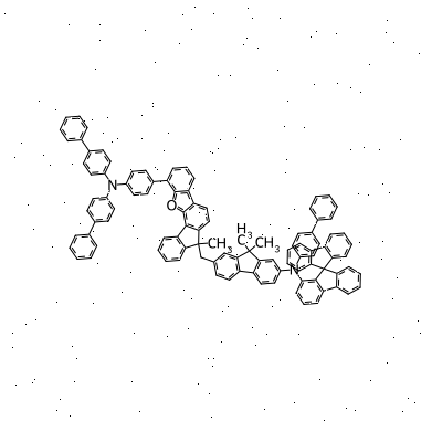 CC1(C)c2cc(CC3(C)c4ccccc4-c4c3ccc3c4oc4c(-c5ccc(N(c6ccc(-c7ccccc7)cc6)c6ccc(-c7ccccc7)cc6)cc5)cccc43)ccc2-c2ccc(N(c3ccc(-c4ccccc4)cc3)c3cccc4c3C3(c5ccccc5-c5ccccc53)c3ccccc3-4)cc21